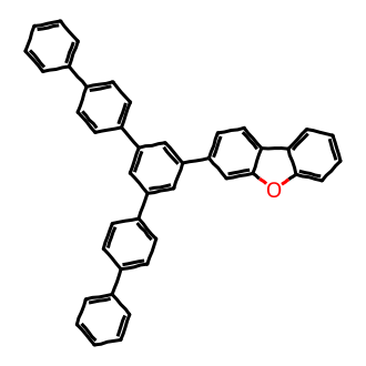 c1ccc(-c2ccc(-c3cc(-c4ccc(-c5ccccc5)cc4)cc(-c4ccc5c(c4)oc4ccccc45)c3)cc2)cc1